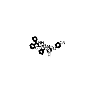 COC(=O)N(C(=O)[C@@H](N)C(c1ccccc1)c1ccccc1)c1ccccc1C[C@H]1CNC[C@@H](COc2ccc(C#N)cc2)O1